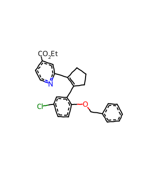 CCOC(=O)c1ccnc(C2=C(c3cc(Cl)ccc3OCc3ccccc3)CCC2)c1